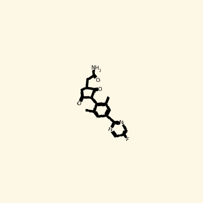 Cc1cc(-c2ncc(F)cn2)cc(C)c1C1C(=O)CC(CC(N)=O)C1=O